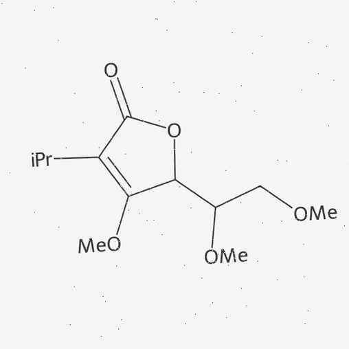 COCC(OC)C1OC(=O)C(C(C)C)=C1OC